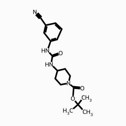 CC(C)(C)OC(=O)N1CCC(NC(=O)Nc2cccc(C#N)c2)CC1